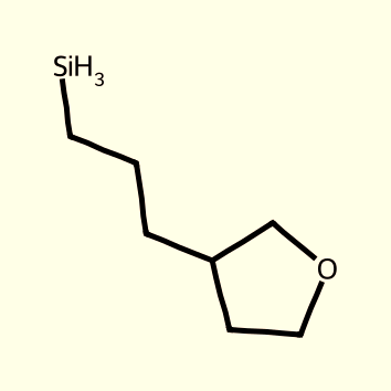 [SiH3]CCCC1CCOC1